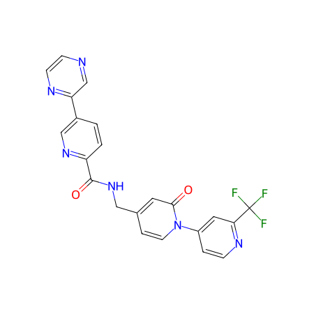 O=C(NCc1ccn(-c2ccnc(C(F)(F)F)c2)c(=O)c1)c1ccc(-c2cnccn2)cn1